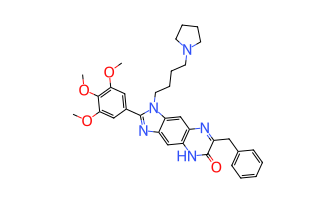 COc1cc(-c2nc3cc4[nH]c(=O)c(Cc5ccccc5)nc4cc3n2CCCCN2CCCC2)cc(OC)c1OC